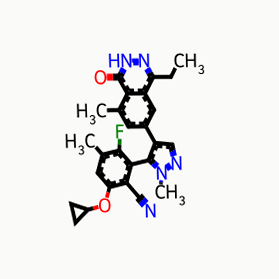 CCc1n[nH]c(=O)c2c(C)cc(-c3cnn(C)c3-c3c(F)c(C)cc(OC4CC4)c3C#N)cc12